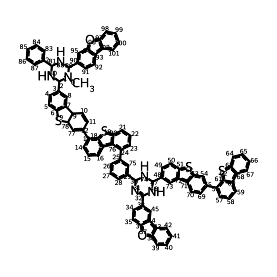 CN1C(c2ccc3c(c2)C2C=CC(c4cccc5c4sc4cccc(-c6cccc(C7N=C(c8ccc9oc%10ccccc%10c9c8)NC(c8ccc9sc%10cc(-c%11cccc%12c%11sc%11ccccc%11%12)ccc%10c9c8)N7)c6)c45)=CC2S3)NC(c2ccccc2)NC1c1ccc2c(c1)oc1ccccc12